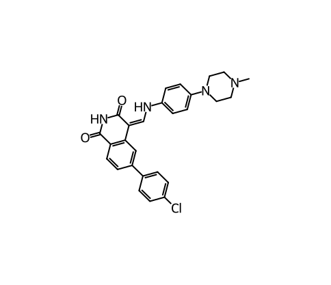 CN1CCN(c2ccc(N/C=C3\C(=O)NC(=O)c4ccc(-c5ccc(Cl)cc5)cc43)cc2)CC1